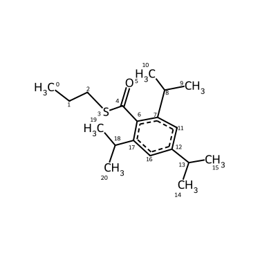 CCCSC(=O)c1c(C(C)C)cc(C(C)C)cc1C(C)C